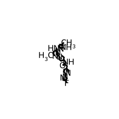 Cc1cc(Nc2cc(C)[nH]n2)nc(N2CCC(NC(=O)Cc3ccc(-n4cc(F)cn4)nc3)CC2)n1